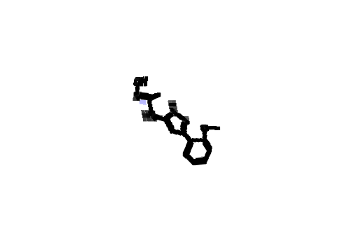 COc1ccccc1-c1cc(N/C(C)=N/O)[nH]n1